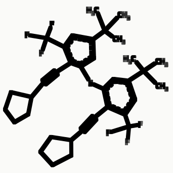 CC(C)(C)c1cc(Sc2cc(C(C)(C)C)cc(C(F)(F)F)c2C#CC2CCCC2)c(C#CC2CCCC2)c(C(F)(F)F)c1